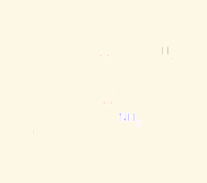 C=CC(=O)OCCCl.N